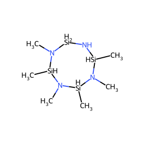 CN1[SiH2]N[SiH](C)N(C)[SiH](C)N(C)[SiH]1C